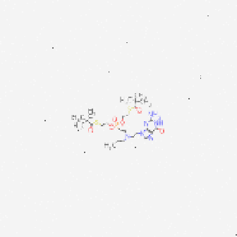 CCCN(CCn1cnc2c(=O)[nH]c(N)nc21)CCP(=O)(OCCSC(=O)C(C)(C)C)OCCSC(=O)C(C)(C)C